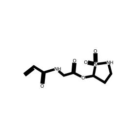 C=CC(=O)NCC(=O)OC1CCNS1(=O)=O